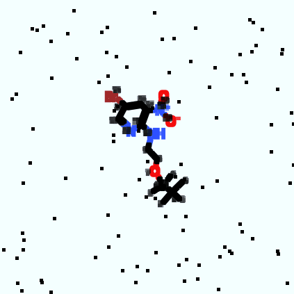 CC(C)(C)[Si](C)(C)OCCNc1ncc(Br)cc1[N+](=O)[O-]